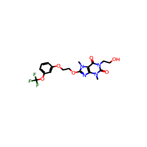 Cn1c(OCCOc2cccc(OC(F)(F)F)c2)nc2c1c(=O)n(CCO)c(=O)n2C